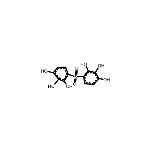 O=S(=O)(c1ccc(O)c(O)c1O)c1ccc(O)c(O)c1O